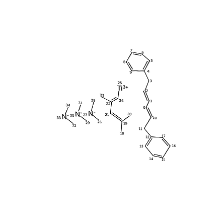 C(C=CCc1ccccc1)=CCc1ccccc1.CC(C)=CC(C)=[CH][Ti+3].C[N-]C.C[N-]C.C[N-]C